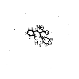 Cc1ccccc1C1=NOC(=O)/C1=C\N1CCOCC1